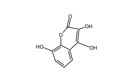 O=c1oc2c(O)cccc2c(O)c1O